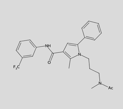 CC(=O)N(C)CCCn1c(-c2ccccc2)cc(C(=O)Nc2cccc(C(F)(F)F)c2)c1C